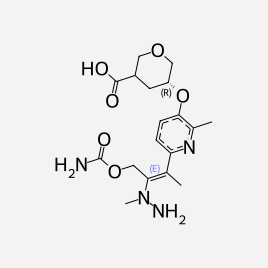 C/C(=C(/COC(N)=O)N(C)N)c1ccc(O[C@H]2COCC(C(=O)O)C2)c(C)n1